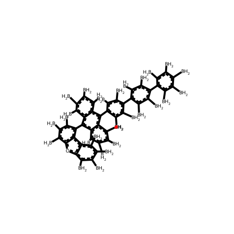 Bc1c(B)c(B)c(-c2c(B)c(B)c(-c3c(B)c(B)c(-c4c5c(B)c(B)c(B)c(B)c5c(-c5c(B)c(B)c(B)c6oc7c(B)c(B)c(B)c(B)c7c56)c5c(B)c(B)c(B)c(B)c45)c(B)c3B)c(B)c2B)c(B)c1B